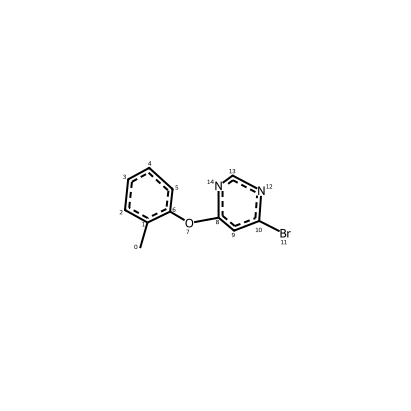 Cc1ccccc1Oc1cc(Br)ncn1